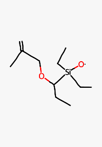 C=C(C)COC(CC)[Si]([O])(CC)CC